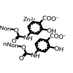 CCCCCCCCCOC(=O)Nc1ccc(C(=O)[O-])c(O)c1.CCCCCCCCCOC(=O)Nc1ccc(C(=O)[O-])c(O)c1.[Zn+2]